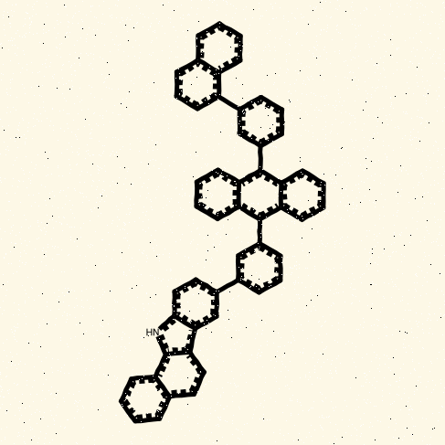 c1cc(-c2ccc3[nH]c4c5ccccc5ccc4c3c2)cc(-c2c3ccccc3c(-c3cccc(-c4cccc5ccccc45)c3)c3ccccc23)c1